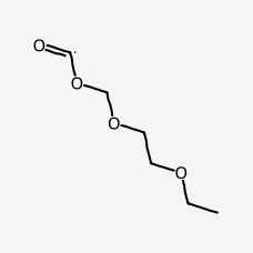 CCOCCOCO[C]=O